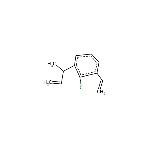 C=C[C](C)c1cccc(C=C)c1Cl